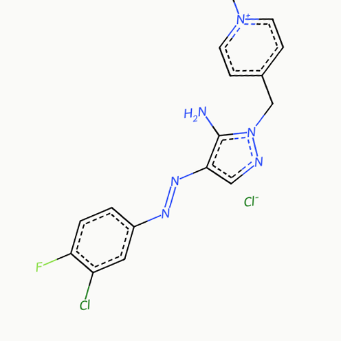 C[n+]1ccc(Cn2ncc(/N=N/c3ccc(F)c(Cl)c3)c2N)cc1.[Cl-]